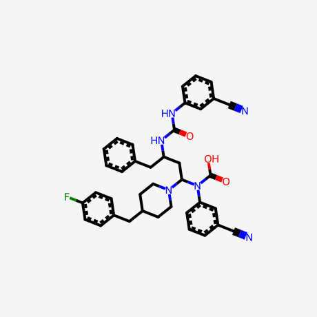 N#Cc1cccc(NC(=O)NC(Cc2ccccc2)CC(N2CCC(Cc3ccc(F)cc3)CC2)N(C(=O)O)c2cccc(C#N)c2)c1